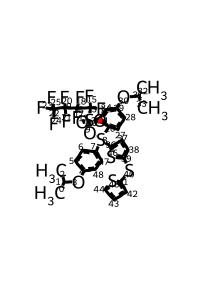 CC(C)Oc1ccc(S(OS(=O)(=O)C(F)(F)C(F)(F)C(F)(F)C(F)(F)F)(c2ccc(OC(C)C)cc2)c2ccc(Sc3cccs3)s2)cc1